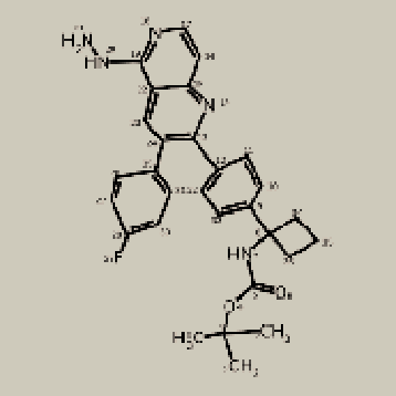 CC(C)(C)OC(=O)NC1(c2ccc(-c3nc4ccnc(NN)c4cc3-c3ccc(F)cc3)cc2)CCC1